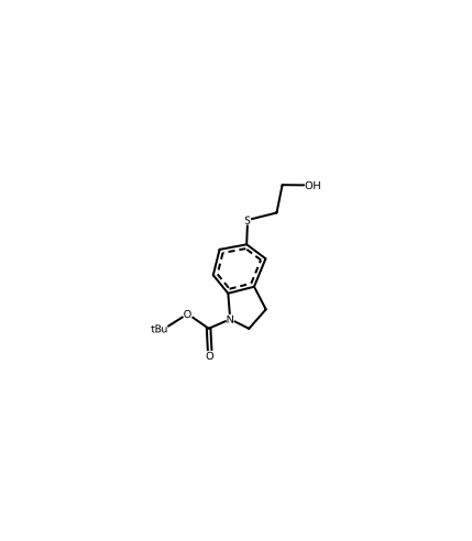 CC(C)(C)OC(=O)N1CCc2cc(SCCO)ccc21